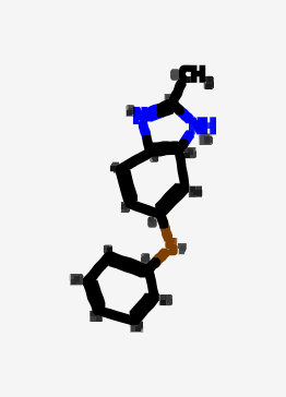 Cc1nc2ccc(Sc3ccccc3)cc2[nH]1